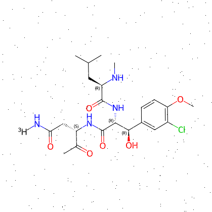 [3H]NC(=O)C[C@H](NC(=O)[C@H](NC(=O)[C@@H](CC(C)C)NC)[C@H](O)c1ccc(OC)c(Cl)c1)C(C)=O